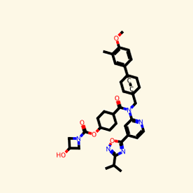 COc1ccc(C23CCC(CN(C(=O)C4CCC(OC(=O)N5CC(O)C5)CC4)c4cc(-c5nc(C(C)C)no5)ccn4)(CC2)CC3)cc1C